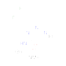 CCN1CCCn2c(-c3ccc(F)c(F)c3)nc(C(=O)N[C@H](C(=O)NC)C(C)(C)C)c2C1